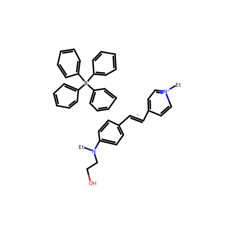 CCN(CCO)c1ccc(/C=C/c2cc[n+](CC)cc2)cc1.c1ccc([B-](c2ccccc2)(c2ccccc2)c2ccccc2)cc1